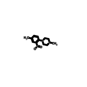 Cc1ccc(N2CCN(C)CC2)c([N+](=O)[O-])c1